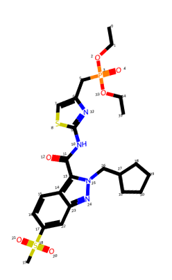 CCOP(=O)(Cc1csc(NC(=O)c2c3ccc(S(C)(=O)=O)cc3nn2CC2CCCC2)n1)OCC